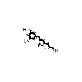 CCCCCCC(Cc1cc(N)cc(N)c1)OC